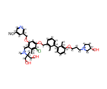 Cc1c(COc2cc(OCc3cncc(C#N)c3)c(CN(C)C(C)(CO)CO)c(C)c2Cl)cccc1-c1cccc(OCCCN2CC[C@@H](O)C2)c1C